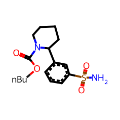 CCCCOC(=O)N1CCCCC1c1cccc(S(N)(=O)=O)c1